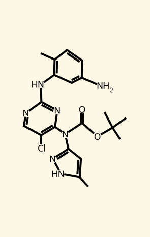 Cc1cc(N(C(=O)OC(C)(C)C)c2nc(Nc3cc(N)ccc3C)ncc2Cl)n[nH]1